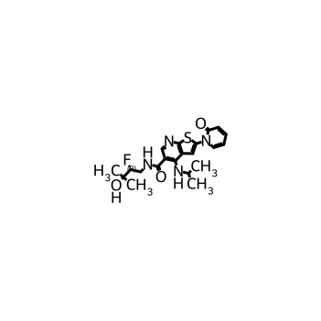 CC(C)Nc1c(C(=O)NC[C@@H](F)C(C)(C)O)cnc2sc(-n3ccccc3=O)cc12